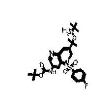 CC(C)(C)OC(=O)Nc1cnc2c(c1)N(S(=O)(=O)c1ccc(F)cc1)CC(C(C)(C)O[SiH2]C(C)(C)C)C2